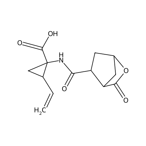 C=CC1CC1(NC(=O)C1CC2CC1C(=O)O2)C(=O)O